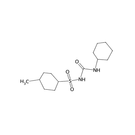 CC1CCC(S(=O)(=O)NC(=O)NC2CCCCC2)CC1